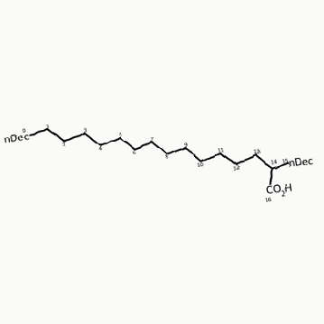 CCCCCCCCCCCCCCCCCCCCCCCC(CCCCCCCCCC)C(=O)O